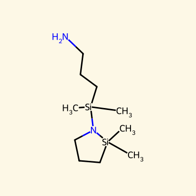 C[Si](C)(CCCN)N1CCC[Si]1(C)C